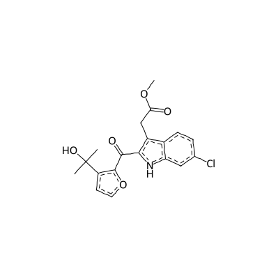 COC(=O)Cc1c(C(=O)c2occc2C(C)(C)O)[nH]c2cc(Cl)ccc12